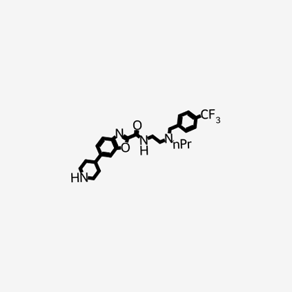 CCCN(CCNC(=O)c1nc2ccc(C3CCNCC3)cc2o1)Cc1ccc(C(F)(F)F)cc1